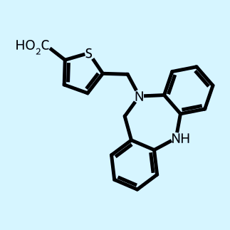 O=C(O)c1ccc(CN2Cc3ccccc3Nc3ccccc32)s1